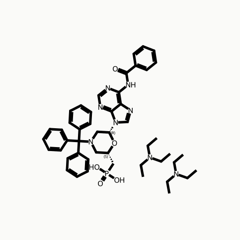 CCN(CC)CC.CCN(CC)CC.O=C(Nc1ncnc2c1ncn2[C@H]1CN(C(c2ccccc2)(c2ccccc2)c2ccccc2)C[C@@H](CP(=O)(O)O)O1)c1ccccc1